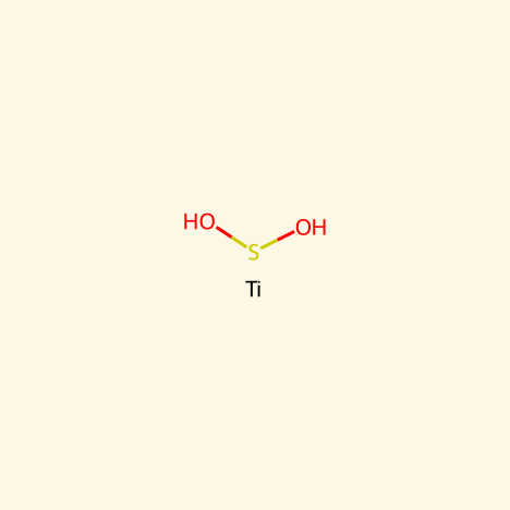 OSO.[Ti]